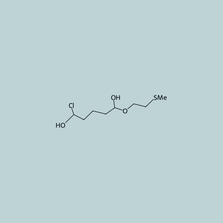 CSCCOC(O)CCCC(O)Cl